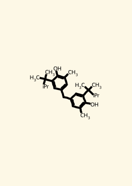 Cc1cc(Cc2cc(C)c(O)c(C(C)(C)C(C)C)c2)cc(C(C)(C)C(C)C)c1O